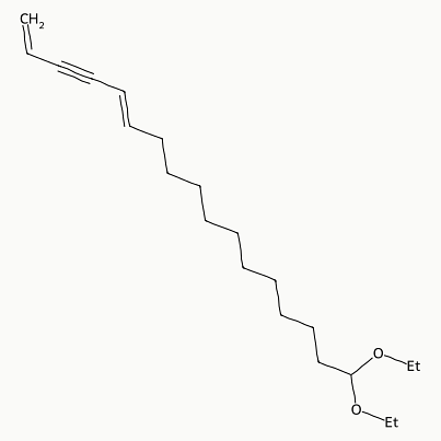 C=CC#C/C=C/CCCCCCCCCCC(OCC)OCC